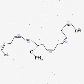 CC/C=C\C/C=C\C=C\C(C/C=C\C/C=C\C/C=C\CCC)OP